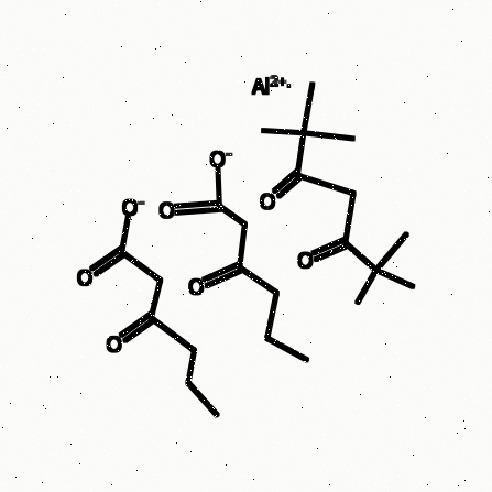 CC(C)(C)C(=O)CC(=O)C(C)(C)C.CCCC(=O)CC(=O)[O-].CCCC(=O)CC(=O)[O-].[Al+2]